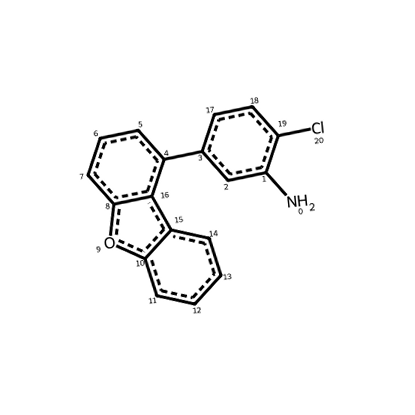 Nc1cc(-c2cccc3oc4ccccc4c23)ccc1Cl